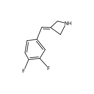 Fc1ccc(C=C2CNC2)cc1F